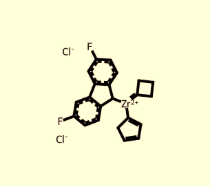 Fc1ccc2c(c1)-c1cc(F)ccc1[CH]2[Zr+2]([C]1=CC=CC1)=[C]1CCC1.[Cl-].[Cl-]